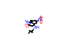 Cn1c(=O)cc(NC2CC2(C)C)c2cc([N+](=O)[O-])ccc21